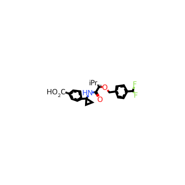 CC(C)[C@@H](OCc1ccc(C(F)F)cc1)C(=O)NC1(c2ccc(C(=O)O)cc2)CC1